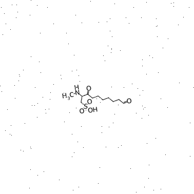 CNC(CS(=O)(=O)O)C(=O)CCCCCCC=O